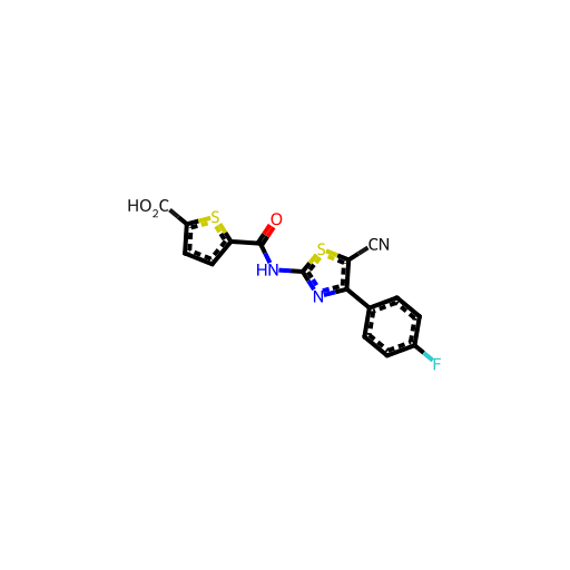 N#Cc1sc(NC(=O)c2ccc(C(=O)O)s2)nc1-c1ccc(F)cc1